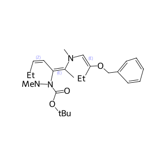 CC/C=C\C(=C(\C)N(C)/C=C(\CC)OCc1ccccc1)N(NC)C(=O)OC(C)(C)C